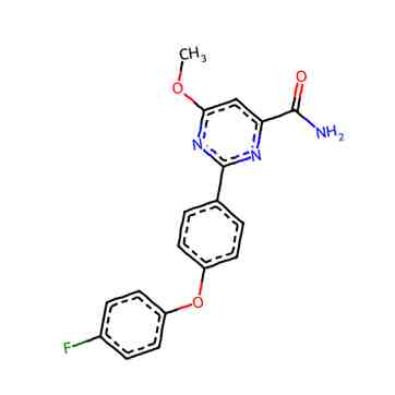 COc1cc(C(N)=O)nc(-c2ccc(Oc3ccc(F)cc3)cc2)n1